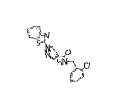 O=C(NCc1ccccc1Cl)c1cnn(-c2nc3ccccc3s2)c1